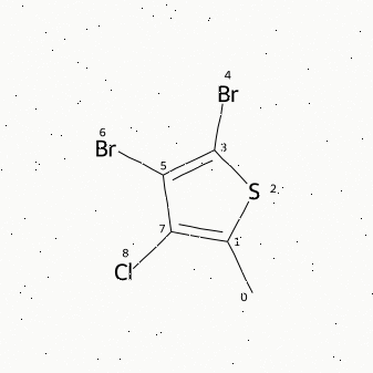 Cc1sc(Br)c(Br)c1Cl